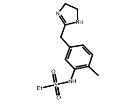 CCS(=O)(=O)Nc1cc(CC2=NCCN2)ccc1C